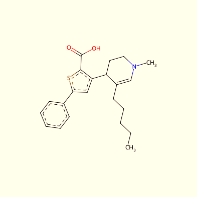 CCCCCC1=CN(C)CCC1c1cc(-c2ccccc2)sc1C(=O)O